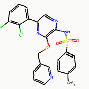 Cc1ccc(S(=O)(=O)Nc2ncc(-c3cccc(Cl)c3Cl)nc2OCc2cccnc2)cc1